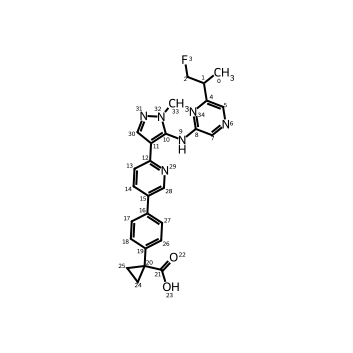 CC(CF)c1cncc(Nc2c(-c3ccc(-c4ccc(C5(C(=O)O)CC5)cc4)cn3)cnn2C)n1